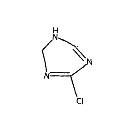 ClC1=NCN[C]=N1